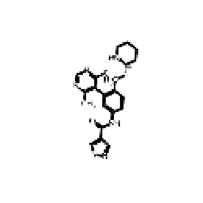 Cc1ncnc(C)c1-c1cc(NC(=O)c2cnsc2)ccc1OC[C@H]1CCCCN1